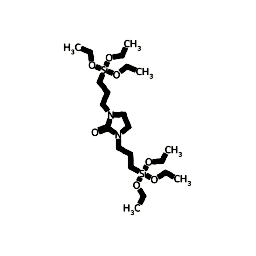 CCO[Si](CCCN1CCN(CCC[Si](OCC)(OCC)OCC)C1=O)(OCC)OCC